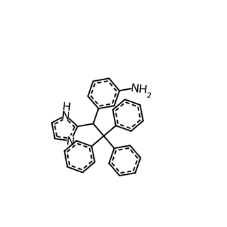 Nc1cccc(C(c2ncc[nH]2)C(c2ccccc2)(c2ccccc2)c2ccccc2)c1